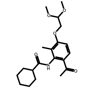 COC(COc1ccc(C(C)=O)c(NC(=O)C2CCCCC2)c1C)OC